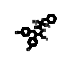 CC(NC(=O)C(C)(C)ON1CCCCC1)C(Cc1ccc(Cl)cc1)c1ccc(Cl)cc1